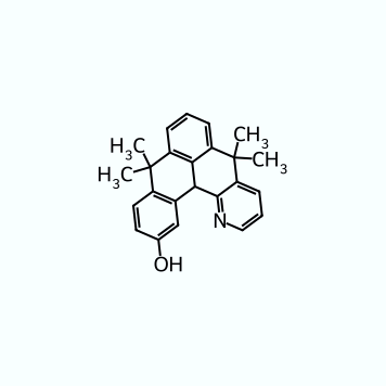 CC1(C)c2ccc(O)cc2C2c3ncccc3C(C)(C)c3cccc1c32